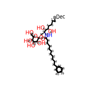 CCCCCCCCCCCCCC[C@@H](O)[C@@H](O)[C@H](COC1OC(CO)C(O)C(O)C1O)NC(=O)CCCCCCCCCCc1ccccc1